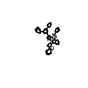 c1ccc(-c2cc(-c3ccccc3)cc(-c3cnc(-n4c5ccccc5c5c6oc7ccccc7c6ccc54)c(-c4nc(-c5ccccc5)nc(-c5ccccc5)n4)c3)c2)cc1